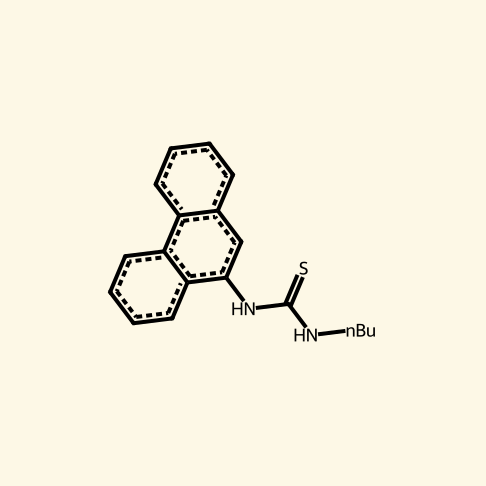 CCCCNC(=S)Nc1cc2ccccc2c2ccccc12